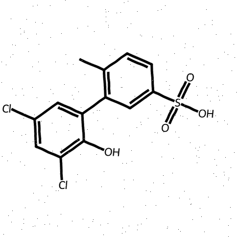 Cc1ccc(S(=O)(=O)O)cc1-c1cc(Cl)cc(Cl)c1O